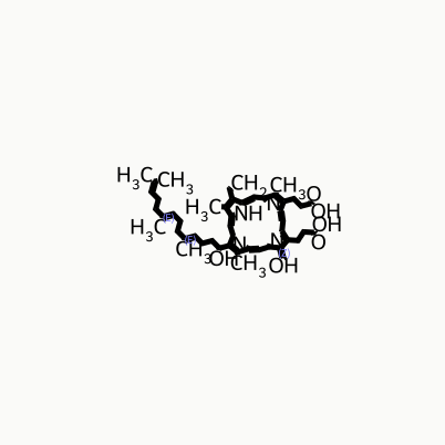 C=Cc1c(C)c2[nH]c1=CC1=NC(=CC3=C(CCC(=O)O)/C(=C/O)C(=N3)C=C3N=C(C=2)C(C(O)CC/C=C(\C)CC/C=C(\C)CCC=C(C)C)=C3C)C(CCC(=O)O)=C1C